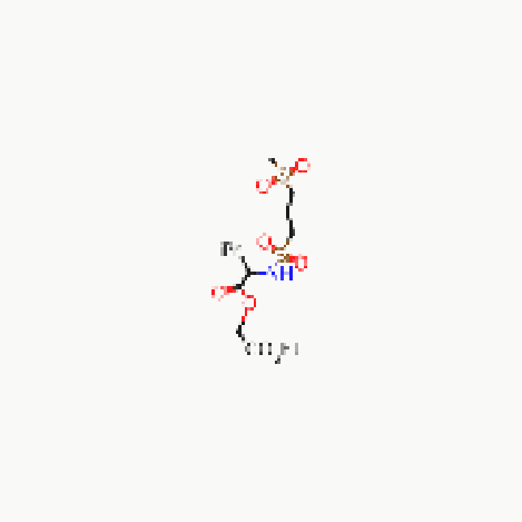 CCOC(=O)COC(=O)C(NS(=O)(=O)CCCS(C)(=O)=O)C(C)C